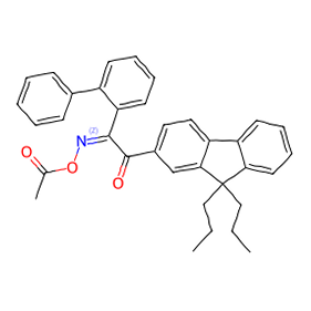 CCCC1(CCC)c2ccccc2-c2ccc(C(=O)/C(=N\OC(C)=O)c3ccccc3-c3ccccc3)cc21